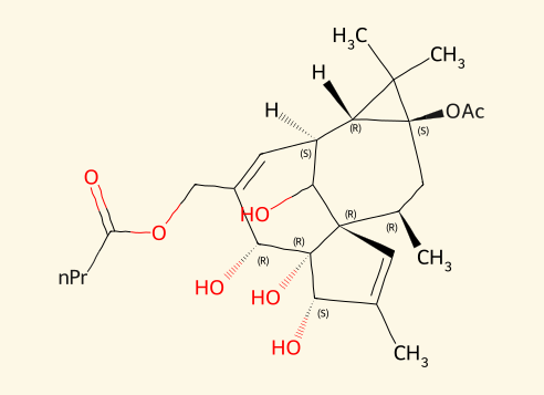 CCCC(=O)OCC1=C[C@@H]2C(O)[C@]3(C=C(C)[C@H](O)[C@@]3(O)[C@@H]1O)[C@H](C)C[C@]1(OC(C)=O)[C@H]2C1(C)C